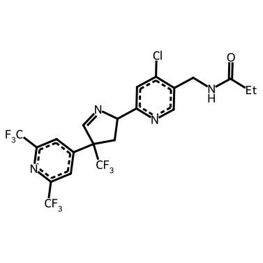 CCC(=O)NCc1cnc(C2CC(c3cc(C(F)(F)F)nc(C(F)(F)F)c3)(C(F)(F)F)C=N2)cc1Cl